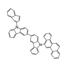 c1ccc2cc(-n3c4ccccc4c4cc(-c5ccc6c(c5)c5ccccc5n6-c5cc6c7ccccc7ccc6c6ccccc56)ccc43)ccc2c1